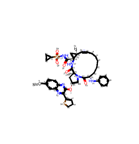 COc1ccc2nc(O[C@@H]3C[C@H]4C(=O)N[C@]5(C(=O)NS(=O)(=O)C6CC6)C[C@H]5/C=C\CCCCC[C@H](Nc5ccccc5)C(=O)N4C3)c(C3=CCCS3)nc2c1